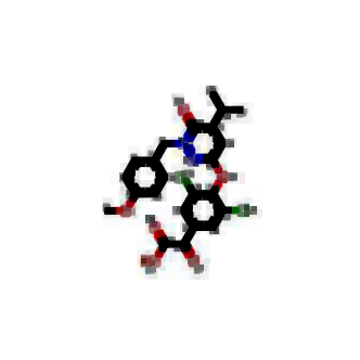 COc1ccc(Cn2nc(Oc3c(Cl)cc(C(=O)C(=O)O)cc3Cl)cc(C(C)C)c2=O)cc1